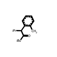 CCC(C)C(=O)C(c1ccccc1C)C(C)C